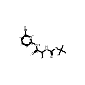 CC(NC(=O)OC(C)(C)C)C(=O)Nc1cccc(Br)n1